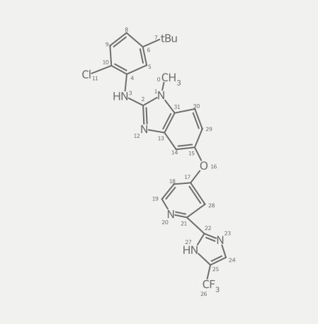 Cn1c(Nc2cc(C(C)(C)C)ccc2Cl)nc2cc(Oc3ccnc(-c4ncc(C(F)(F)F)[nH]4)c3)ccc21